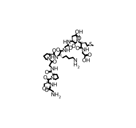 CSCC[C@H](NC(=O)[C@H](CC(=O)O)NC(=O)CNC(=O)[C@H](CCCCN)NC(=O)[C@@H]1CCCN1C(=O)CNC(=O)[C@@H]1CCCN1C(=O)[C@H](CO)NC(=O)CN)C(=O)NCC(=O)O